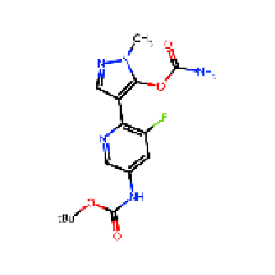 Cn1ncc(-c2ncc(NC(=O)OC(C)(C)C)cc2F)c1OC(N)=O